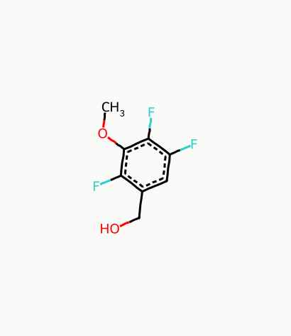 COc1c(F)c(F)cc(CO)c1F